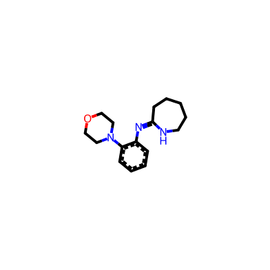 c1ccc(N2CCOCC2)c(N=C2CCCCCN2)c1